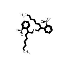 CCCCCCC(COCC(CCCCCC)c1ccccc1[N+](=O)[O-])c1ccccc1[N+](=O)[O-]